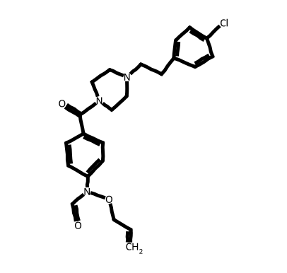 C=CCON(C=O)c1ccc(C(=O)N2CCN(CCc3ccc(Cl)cc3)CC2)cc1